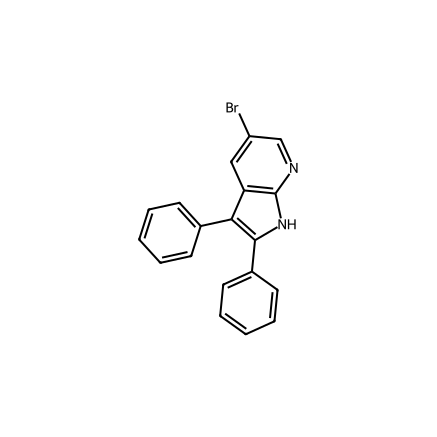 Brc1cnc2[nH]c(-c3ccccc3)c(-c3ccccc3)c2c1